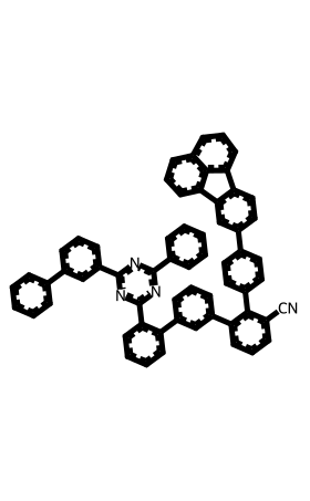 N#Cc1cccc(-c2cccc(-c3ccccc3-c3nc(-c4ccccc4)nc(-c4cccc(-c5ccccc5)c4)n3)c2)c1-c1ccc(-c2ccc3c(c2)-c2cccc4cccc-3c24)cc1